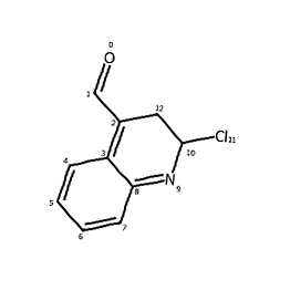 O=CC1=c2ccccc2=NC(Cl)C1